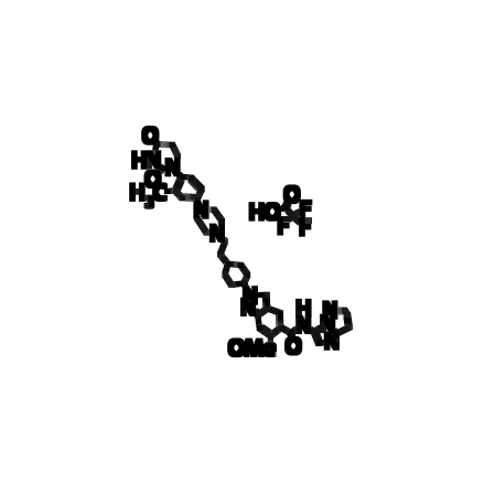 COc1cc2nn(C3CCC(CCN4CCN(c5ccc(N6CCC(=O)NC6=O)c(C)c5)CC4)CC3)cc2cc1C(=O)Nc1cnc2cccnn12.O=C(O)C(F)(F)F